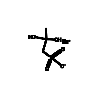 CC(O)(O)CS(=O)(=O)[O-].[Na+]